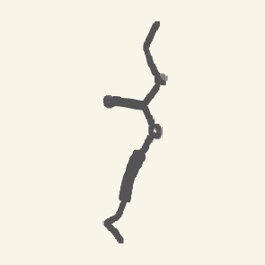 CCC#COC(=O)[N]CC